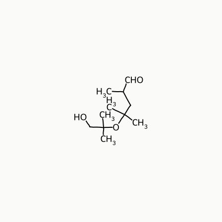 CC(C=O)CC(C)(C)OC(C)(C)CO